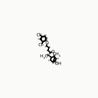 CN(C(=O)CCCOc1ccc(Cl)cc1Cl)C1CC2CCC1(C)CC2O